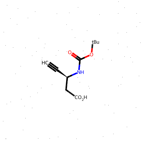 C#C[C@H](CC(=O)O)NC(=O)OC(C)(C)C